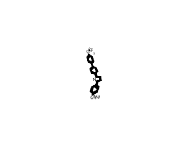 COc1ccc(C2=NC(c3ccc(-c4ccc(OC(F)(F)F)cc4)cc3)CC2)cc1